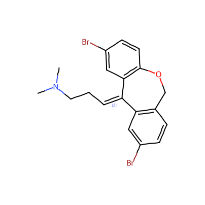 CN(C)CC/C=C1/c2cc(Br)ccc2COc2ccc(Br)cc21